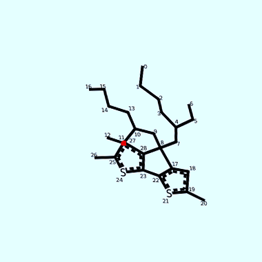 CCCCC(CC)CC1(CC(CC)CCCC)c2cc(C)sc2-c2sc(C)cc21